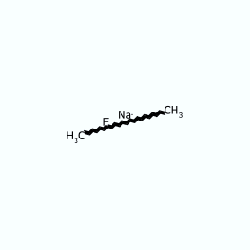 CCCCCCCCCCCCCCCCC(F)CCCCCCC.[Na]